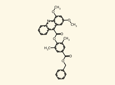 COc1cc(OC)c2nc3ccccc3c(C(=O)Oc3c(C)cc(C(=O)OCc4ccccc4)cc3C)c2c1